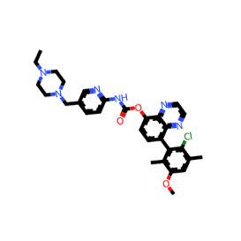 CCN1CCN(Cc2ccc(NC(=O)Oc3ccc(-c4c(C)c(OC)cc(C)c4Cl)c4nccnc34)nc2)CC1